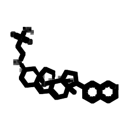 CC12CC=C3C=C4CC[C@@H](NCCS(N)(=O)=O)C[C@]45CC[C@]3(O5)[C@@H]1CCC2c1ccc2ccncc2c1